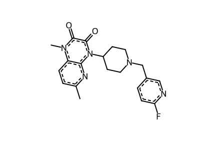 Cc1ccc2c(n1)n(C1CCN(Cc3ccc(F)nc3)CC1)c(=O)c(=O)n2C